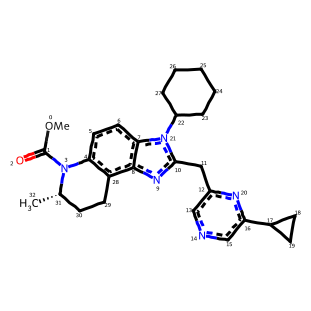 COC(=O)N1c2ccc3c(nc(Cc4cncc(C5CC5)n4)n3C3CCCCC3)c2CC[C@@H]1C